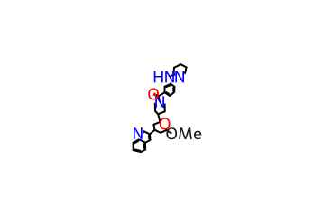 COC(=O)CC(CCC1CCN(C(=O)c2cccc(NC3=NCCCC3)c2)CC1)c1cnc2ccccc2c1